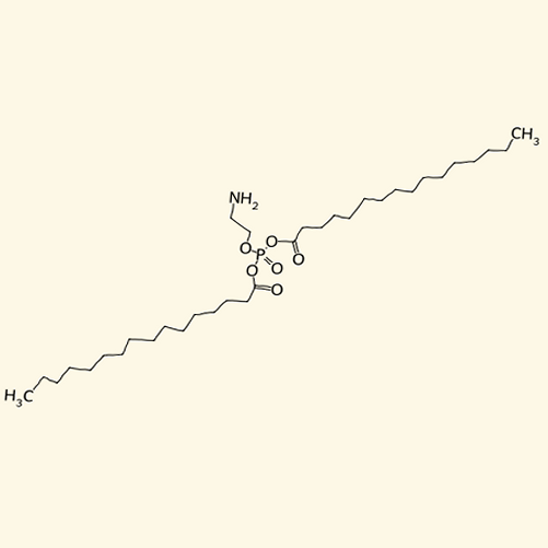 CCCCCCCCCCCCCCCC(=O)OP(=O)(OCCN)OC(=O)CCCCCCCCCCCCCCC